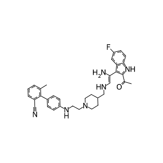 CC(=O)c1[nH]c2ccc(F)cc2c1/C(N)=C/NCC1CCN(CCNc2ccc(-c3c(C)cccc3C#N)cc2)CC1